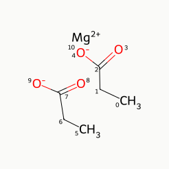 CCC(=O)[O-].CCC(=O)[O-].[Mg+2]